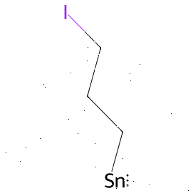 [Sn][CH2]CCI